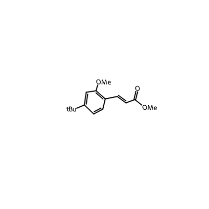 COC(=O)/C=C/c1ccc(C(C)(C)C)cc1OC